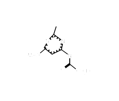 CCOC(=O)C(=O)Nc1cc(OC)nc(C)n1